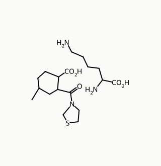 CC1CCC(C(=O)O)C(C(=O)N2CCSC2)C1.NCCCCC(N)C(=O)O